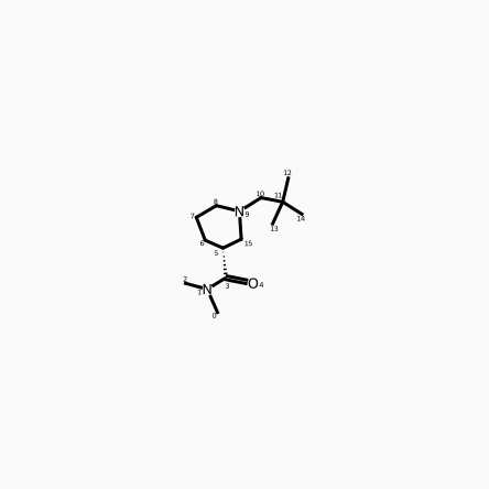 CN(C)C(=O)[C@@H]1CCCN(CC(C)(C)C)C1